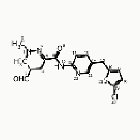 CN(C)/N=C(\CCC=O)C(=O)Nc1ccc(Cc2ccc(Cl)s2)cn1